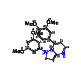 COc1cc(OC)cc(N2CC=C3N=CC=C(c4ccc(OC)c(OC)c4)N32)c1